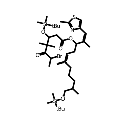 CC(=CCC(OC(=O)CC(O[Si](C)(C)C(C)(C)C)C(C)(C)C(=O)C(C)Br)C(C)=Cc1csc(C)n1)CCCC(C)CO[Si](C)(C)C(C)(C)C